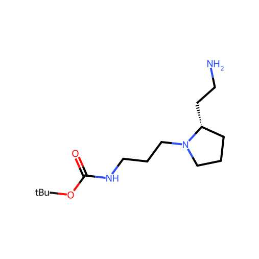 CC(C)(C)OC(=O)NCCCN1CCC[C@H]1CCN